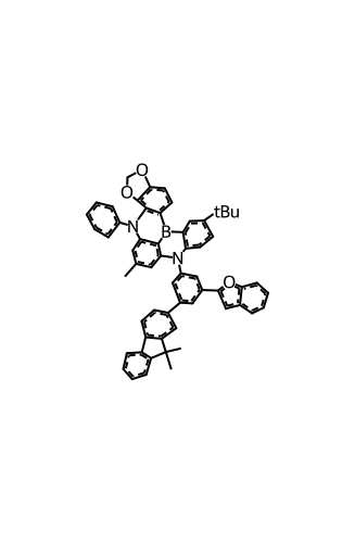 Cc1cc2c3c(c1)N(c1ccccc1)c1c(ccc4c1OCO4)B3c1cc(C(C)(C)C)ccc1N2c1cc(-c2ccc3c(c2)C(C)(C)c2ccccc2-3)cc(-c2cc3ccccc3o2)c1